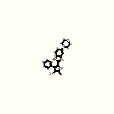 CC(=O)c1c(C)[nH]c(-c2nc3cc(N4CCOCC4)ccc3[nH]2)c1-c1ccccc1